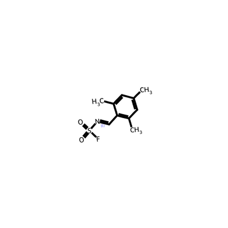 Cc1cc(C)c(/C=N/S(=O)(=O)F)c(C)c1